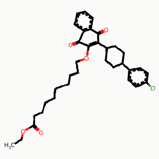 CCOC(=O)CCCCCCCCCOC1=C(C2CCC(c3ccc(Cl)cc3)CC2)C(=O)c2ccccc2C1=O